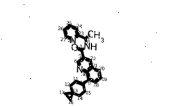 CC(NC(=O)c1cnc2c(C3=CCC4(CC3)CC4)cccc2c1)c1ccccn1